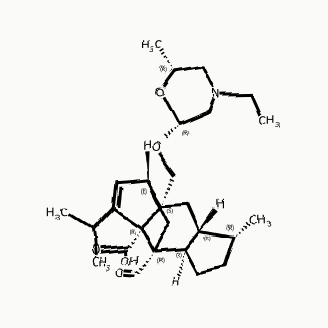 CCN1C[C@H](OC[C@@]23C[C@@H]4[C@H](C)CC[C@H]4[C@]4(C=O)C[C@@H]2C=C(C(C)C)[C@@]34C(=O)O)O[C@H](C)C1